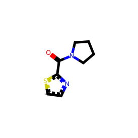 O=C(c1nc[c]s1)N1CCCC1